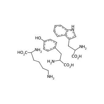 NC(Cc1c[nH]c2ccccc12)C(=O)O.NC(Cc1ccc(O)cc1)C(=O)O.NCCCCC(N)C(=O)O